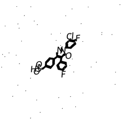 O=c1c(-c2ccc(F)cc2)c(-c2ccc(C[SH](=O)=O)cc2)cnn1-c1ccc(F)c(Cl)c1